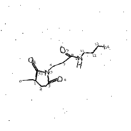 CC1CC(=O)N(CCC(=O)NCCCI)C1=O